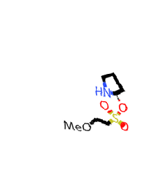 COCCS(=O)(=O)O[C@H]1CCCN1